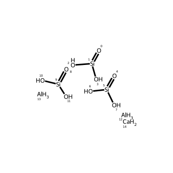 O=[Si](O)O.O=[Si](O)O.O=[Si](O)O.[AlH3].[AlH3].[CaH2]